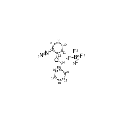 F[B-](F)(F)F.N#[N+]c1ccccc1OCc1ccccc1